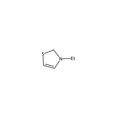 CCN1[CH]SC=C1